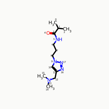 CC(C)C(=O)NCCCn1cc(CN(C)C)nn1